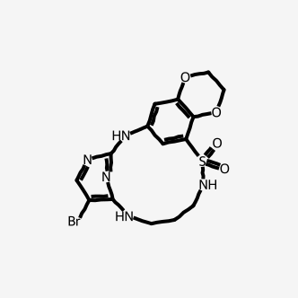 O=S1(=O)NCCCNc2nc(ncc2Br)Nc2cc3c(c1c2)OCCO3